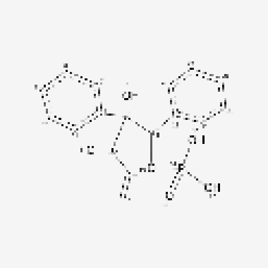 C=CC(=O)C(O)(c1ccccc1)C(OP(=O)(O)O)c1ccccc1